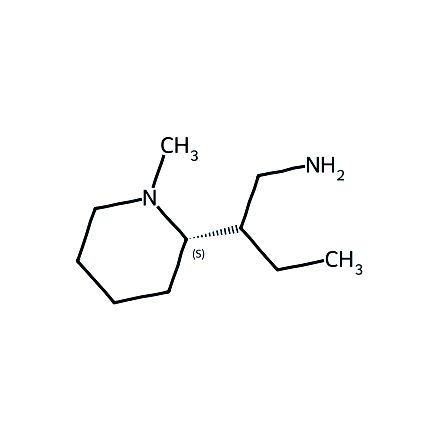 CCC(CN)[C@@H]1CCCCN1C